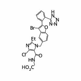 CCc1nc(Cl)c(C(=O)NCC(=O)O)n1Cc1ccc2oc(-c3ccccc3-c3nnn[nH]3)c(Br)c2c1